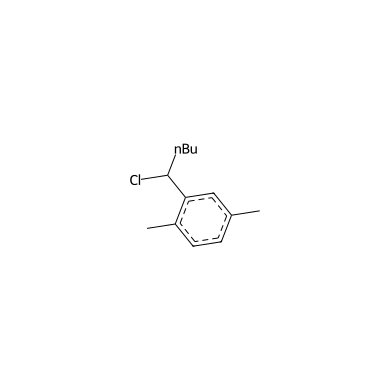 CCCCC(Cl)c1cc(C)ccc1C